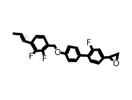 C/C=C/c1ccc(COc2ccc(-c3ccc(C4CO4)cc3F)cc2)c(F)c1F